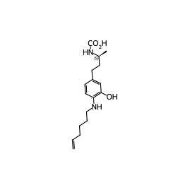 C=CCCCCNc1ccc(CC[C@H](C)NC(=O)O)cc1O